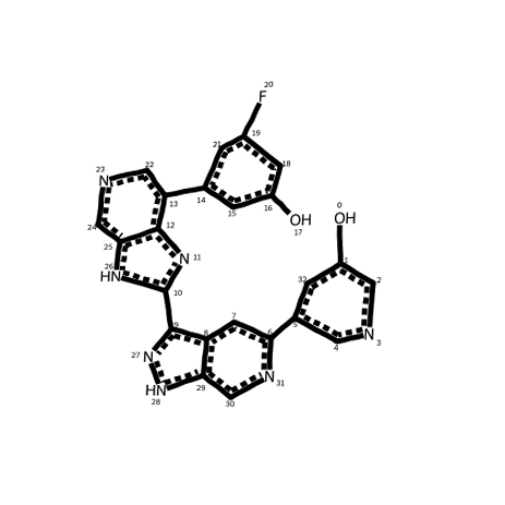 Oc1cncc(-c2cc3c(-c4nc5c(-c6cc(O)cc(F)c6)cncc5[nH]4)n[nH]c3cn2)c1